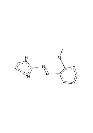 COc1ccccc1/N=N/c1ncc[nH]1